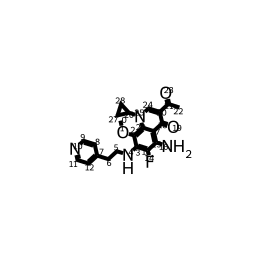 COc1c(NCCc2ccncc2)c(F)c(N)c2c(=O)c(C(C)=O)cn(C3CC3)c12